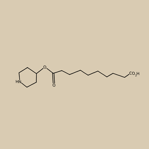 O=C(O)CCCCCCCCC(=O)OC1CCNCC1